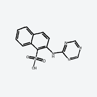 O=S(=O)(O)c1c(Nc2ncncn2)ccc2ccccc12